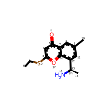 CCSc1cc(=O)c2cc(C)cc([C@@H](C)N)c2o1